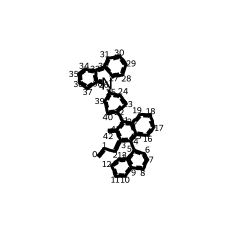 C=C/C=c1/c(-c2cccc3ccccc23)c2ccccc2c(-c2ccc(-n3c4ccccc4c4ccccc43)cc2)c1=C